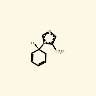 CCOC(=O)c1cncn1[C@@]1(CC)C=CC=CC1